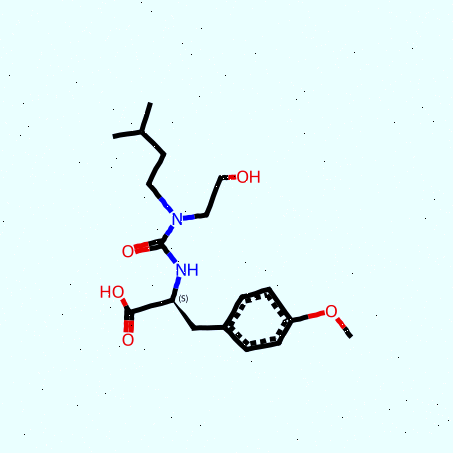 COc1ccc(C[C@H](NC(=O)N(CCO)CCC(C)C)C(=O)O)cc1